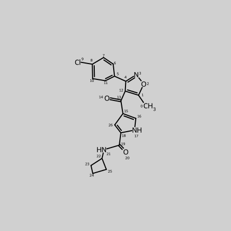 Cc1onc(-c2ccc(Cl)cc2)c1C(=O)c1c[nH]c(C(=O)NC2CCC2)c1